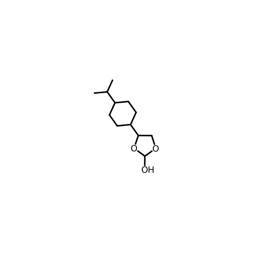 CC(C)C1CCC(C2COC(O)O2)CC1